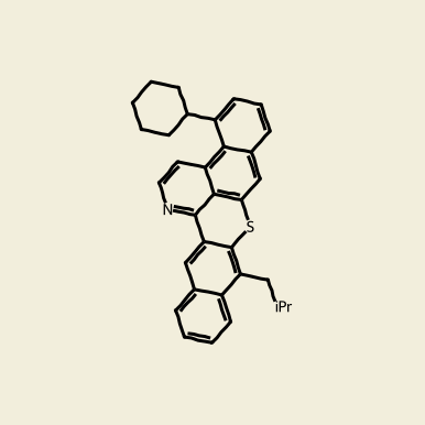 CC(C)Cc1c2c(cc3ccccc13)-c1nccc3c1c(cc1cccc(C4CCCCC4)c13)S2